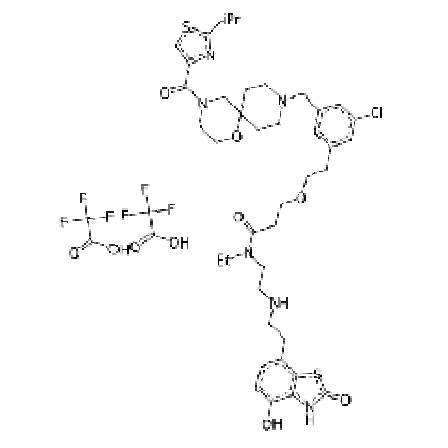 CCN(CCNCCc1ccc(O)c2[nH]c(=O)sc12)C(=O)CCOCCc1cc(Cl)cc(CN2CCC3(CC2)CN(C(=O)c2csc(C(C)C)n2)CCO3)c1.O=C(O)C(F)(F)F.O=C(O)C(F)(F)F